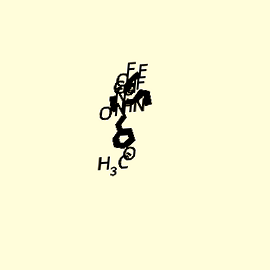 COc1ccc(CCN2C(=O)C[N+](C)(OC(=O)C(F)(F)F)C2c2ccc[nH]2)cc1